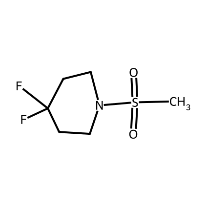 CS(=O)(=O)N1CCC(F)(F)CC1